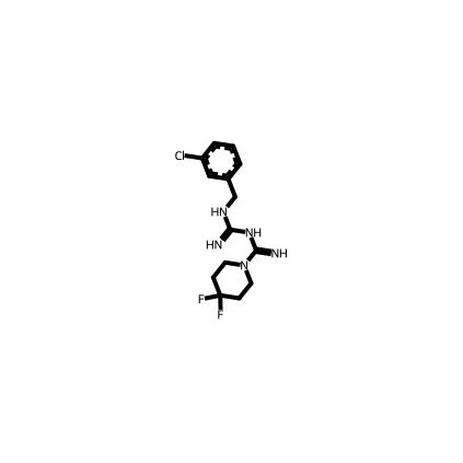 N=C(NCc1cccc(Cl)c1)NC(=N)N1CCC(F)(F)CC1